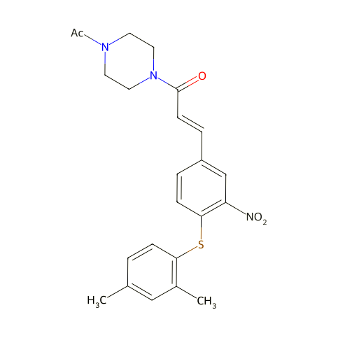 CC(=O)N1CCN(C(=O)C=Cc2ccc(Sc3ccc(C)cc3C)c([N+](=O)[O-])c2)CC1